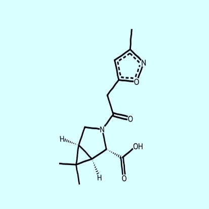 Cc1cc(CC(=O)N2C[C@H]3[C@@H]([C@H]2C(=O)O)C3(C)C)on1